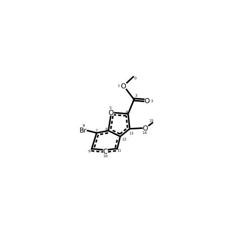 COC(=O)c1oc2c(Br)cccc2c1OC